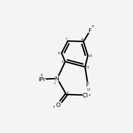 CC(C)N(C(=O)Cl)c1ccc(F)cc1F